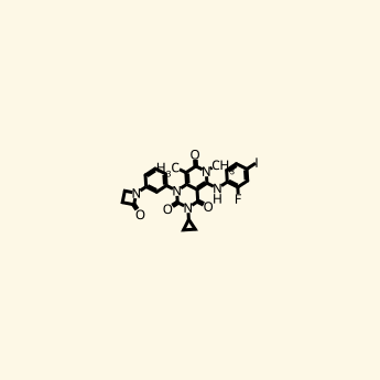 Cc1c(=O)n(C)c(Nc2ccc(I)cc2F)c2c(=O)n(C3CC3)c(=O)n(-c3cccc(N4CCC4=O)c3)c12